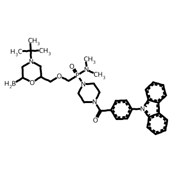 BC1CN(C(C)(C)C)CC(COCP(=O)(N(C)C)N2CCN(C(=O)c3ccc(-n4c5ccccc5c5ccccc54)cc3)CC2)O1